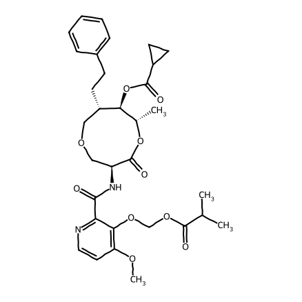 COc1ccnc(C(=O)N[C@H]2COC[C@H](CCc3ccccc3)[C@@H](OC(=O)C3CC3)[C@H](C)OC2=O)c1OCOC(=O)C(C)C